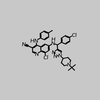 Cc1ccc(Nc2c(C#N)cnc3c(Cl)cc(NC(c4ccc(Cl)cc4)c4cn(C5CCN(C(C)(C)C)CC5)nn4)cc23)cc1